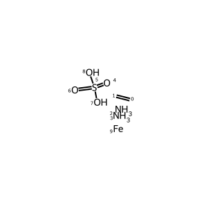 C=C.N.N.O=S(=O)(O)O.[Fe]